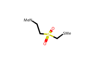 CNCCS(=O)(=O)CSC